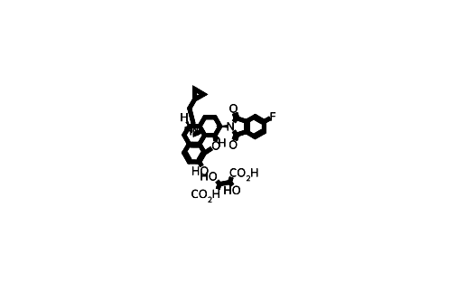 O=C(O)C(O)C(O)C(=O)O.O=C1c2ccc(F)cc2C(=O)N1[C@@H]1CCC2(O)[C@H]3Cc4ccc(O)c5c4[C@@]2(CCN3CC2CC2)[C@H]1O5